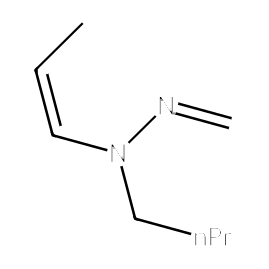 C=NN(/C=C\C)CCCC